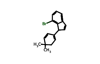 CC1(C)C=CC(C2C=Cc3cccc(Br)c32)=CC1